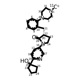 [11CH3]N1CCN(c2ccccc2C[C@@H]2CCN(c3ccc(C4(O)CCCC4)nc3)C2=O)CC1